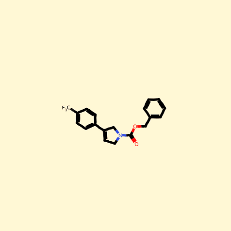 O=C(OCc1ccccc1)N1CC=C(c2ccc(C(F)(F)F)cc2)C1